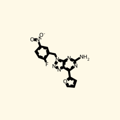 Nc1nc(-c2ccco2)c2nnn(Cc3cc([N+](=O)[O-])ccc3F)c2n1